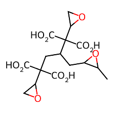 CC1OC1CC(CC(C(=O)O)(C(=O)O)C1CO1)C(C(=O)O)(C(=O)O)C1CO1